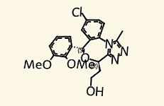 COc1cccc([C@H]2O[C@H](CCO)c3nnc(C)n3-c3ccc(Cl)cc32)c1OC